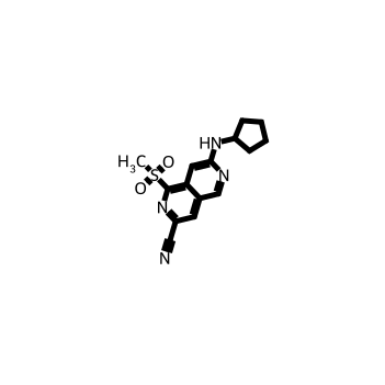 CS(=O)(=O)c1nc(C#N)cc2cnc(NC3CCCC3)cc12